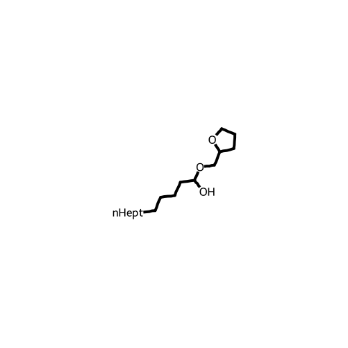 CCCCCCCCCCCC(O)OCC1CCCO1